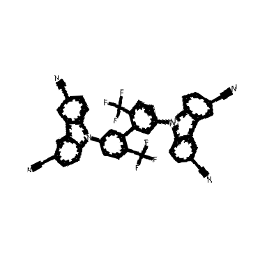 N#Cc1ccc2c(c1)c1cc(C#N)ccc1n2-c1ccc(C(F)(F)F)c(-c2cc(-n3c4ccc(C#N)cc4c4cc(C#N)ccc43)ccc2C(F)(F)F)c1